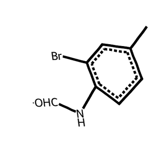 Cc1ccc(N[C]=O)c(Br)c1